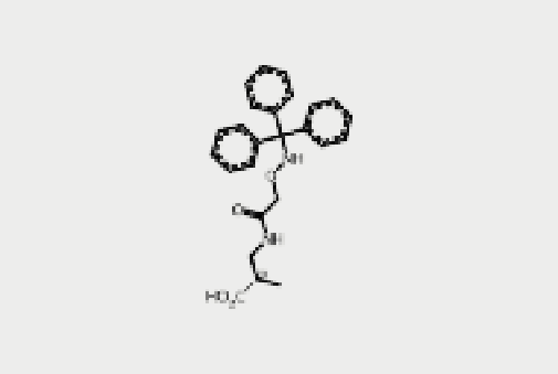 C[C@@H](CNC(=O)CONC(c1ccccc1)(c1ccccc1)c1ccccc1)C(=O)O